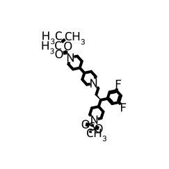 CC(C)(C)OC(=O)N1CCC(C2CCN(CC[C@@H](c3cc(F)cc(F)c3)C3CCN(S(C)(=O)=O)CC3)CC2)CC1